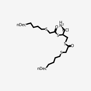 CCCCCCCCCCCCCCSCC(=O)SCC(CN)SC(=O)CSCCCCCCCCCCCCCC.Cl